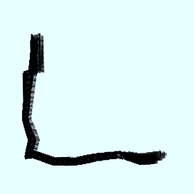 [Cl-].[Cl-].[Cl-].[Cl-].[Cl-].[Cl-].[Cl-].[Cl-].[Cl-].[Cl-].[Cl-].[Cl-].[Cl-].[Cl-].[Cl-].[Cl-].[Cl-].[Cl-].[Cl-].[Cl-].[Cl-].[Cl-].[Cl-].[Cl-].[Cl-].[Cl-].[Cl-].[Cl-].[Cl-].[Cl-].[Cl-].[Cl-].[Cl-].[Cl-].[Cl-].[Cl-].[Cl-].[Cl-].[Cl-].[Cl-].[Cl-].[Cl-].[Cl-].[Cl-].[Cl-].[Cl-].[Cl-].[Cl-].[Cl-].[Cl-].[Cl-].[Cl-].[Cl-].[Cl-].[Cl-].[Cl-].[Cl-].[Cl-].[Cl-].[Cl-].[Cl-].[Cl-].[Cl-].[Cl-].[Cl-].[Cl-].[Cl-].[Cl-].[Cl-].[Cl-].[Ni+2].[Ni+2].[Ni+2].[Ni+2].[Ni+2].[Ni+2].[Ni+2].[Ni+2].[Ni+2].[Ni+2].[Ni+2].[Ni+2].[Ni+2].[Ni+2].[Ni+2].[Ni+2].[Ni+2].[Ni+2].[Ni+2].[Ni+2].[Ni+2].[Ni+2].[Ni+2].[Ni+2].[Ni+2].[Ni+2].[Ni+2].[Ni+2].[Ni+2].[Ni+2]